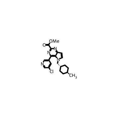 COC(=O)c1nc(-c2cncc(Cl)c2)c2c(ccn2C[C@H]2CC[C@H](C)CC2)n1